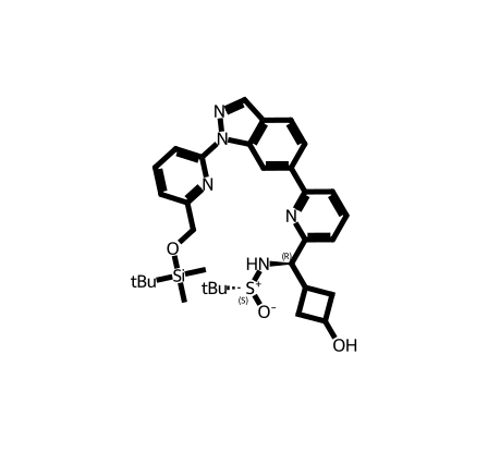 CC(C)(C)[S@@+]([O-])N[C@@H](c1cccc(-c2ccc3cnn(-c4cccc(CO[Si](C)(C)C(C)(C)C)n4)c3c2)n1)C1CC(O)C1